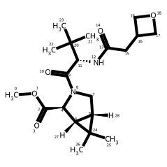 COC(=O)[C@@H]1[C@@H]2[C@H](CN1C(=O)[C@@H](NC(=O)CC1COC1)C(C)(C)C)C2(C)C